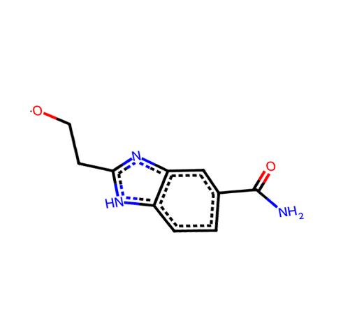 NC(=O)c1ccc2[nH]c(CC[O])nc2c1